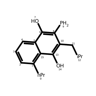 CCCc1cccc2c(O)c(P)c(CC(C)C)c(O)c12